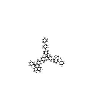 CC1C=C(c2ccccc2)C=CC1c1ccc(N(c2ccc(-c3ccc(-c4ccccc4)cc3)cc2)c2ccc(-c3ccc(N(c4ccccc4)c4cccc5ccccc45)cc3)cc2)cc1